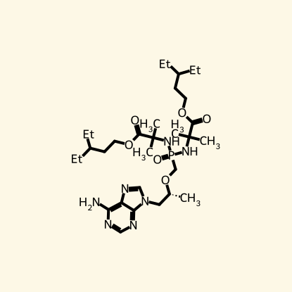 CCC(CC)CCOC(=O)C(C)(C)NP(=O)(CO[C@H](C)Cn1cnc2c(N)ncnc21)NC(C)(C)C(=O)OCCC(CC)CC